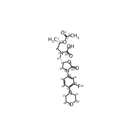 CC(=O)O[C@@H](C)CN(C[C@H]1CN(c2ccc(N3CCOCC3)c(F)c2)C(=O)O1)C(=O)O